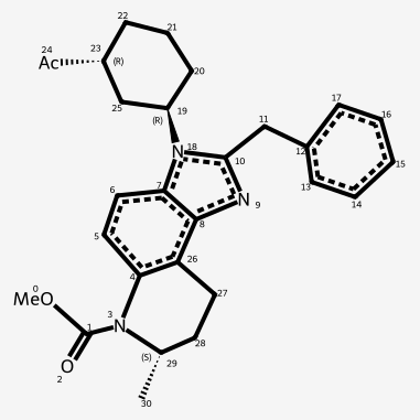 COC(=O)N1c2ccc3c(nc(Cc4ccccc4)n3[C@@H]3CCC[C@@H](C(C)=O)C3)c2CC[C@@H]1C